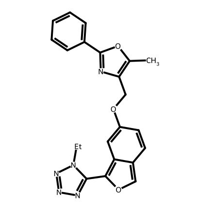 CCn1nnnc1-c1occ2ccc(OCc3nc(-c4ccccc4)oc3C)cc12